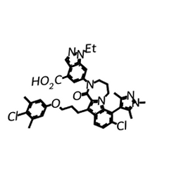 CCn1ncc2c(C(=O)O)cc(N3CCCn4c(c(CCCOc5cc(C)c(Cl)c(C)c5)c5ccc(Cl)c(-c6c(C)nn(C)c6C)c54)C3=O)cc21